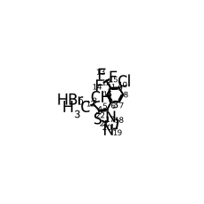 Br.CC(C)C1=C(c2ccc(Cl)c(C(F)(F)F)c2)N2CCN=C2S1